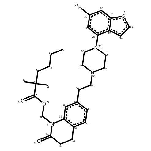 CCCCC(C)(C)C(=O)OCN1C(=O)CCc2ccc(CCN3CCN(c4cc(F)cc5sccc45)CC3)cc21